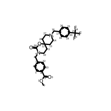 COC(=O)c1ccc(CN2CCC3(CCN(Cc4ccc(C(F)(F)F)cc4)CC3)OC2=O)cc1